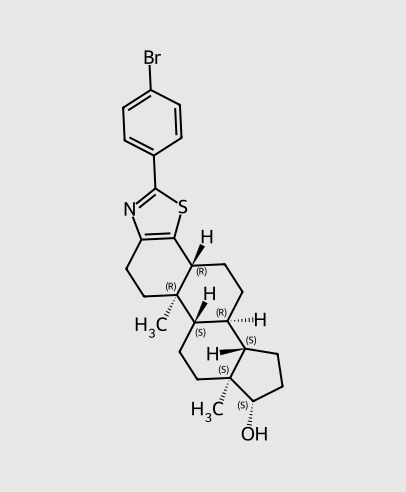 C[C@]12CCc3nc(-c4ccc(Br)cc4)sc3[C@@H]1CC[C@@H]1[C@@H]2CC[C@]2(C)[C@@H](O)CC[C@@H]12